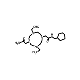 NC(=O)CN1CCN(CC=O)CCN(CC(=O)NCC2CCCCC2)CCN(CC(=O)O)CC1